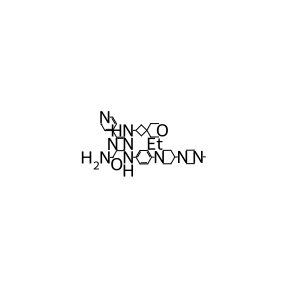 CCc1cc(Nc2nc(NC3CC4(CCOCC4)C3)c(-c3ccncc3)nc2C(N)=O)ccc1N1CCC(N2CCN(C)CC2)CC1